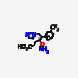 NO/C(CCC(=O)O)=C(/Cn1ccnc1)c1cccc(C(F)(F)F)c1